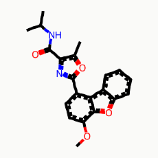 COc1ccc(-c2nc(C(=O)NC(C)C)c(C)o2)c2c1oc1ccccc12